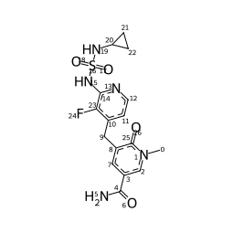 Cn1cc(C(N)=O)cc(Cc2ccnc(NS(=O)(=O)NC3CC3)c2F)c1=O